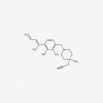 C=C/C=C(\C)c1ccc(CN2CCC(C)(CC#N)CC2)c(C)c1O